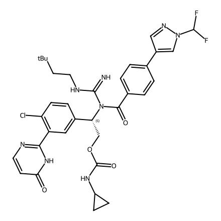 CC(C)(C)CCNC(=N)N(C(=O)c1ccc(-c2cnn(C(F)F)c2)cc1)[C@H](COC(=O)NC1CC1)c1ccc(Cl)c(-c2nccc(=O)[nH]2)c1